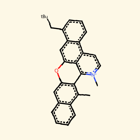 Cc1c2c(cc3ccccc13)Oc1cc3c(CC(C)(C)C)cccc3c3cc[n+](C)c-2c13